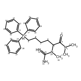 CN(C)C(=O)C(CCCC[PH](c1ccccc1)(c1ccccc1)c1ccccc1)N(C)C(=N)N